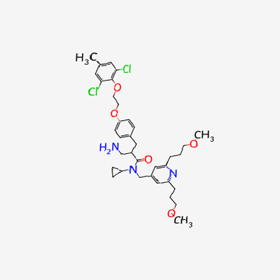 COCCCc1cc(CN(C(=O)C(CN)Cc2ccc(OCCOc3c(Cl)cc(C)cc3Cl)cc2)C2CC2)cc(CCCOC)n1